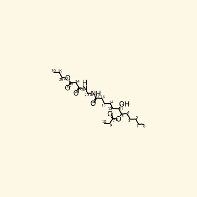 CCCCCC(OC(=O)CC)C(O)CCCCC(=O)NCNC(=O)CC(=O)OCCC